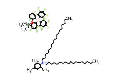 CCCCCCCCCCCCCCCCCC[NH+](CCCCCCCCCCCCCCCCCC)c1c(C)cc(C)cc1C.C[CH2][Al]([CH2]C)[O]c1ccccc1[B-](c1c(F)c(F)c(F)c(F)c1F)(c1c(F)c(F)c(F)c(F)c1F)c1c(F)c(F)c(F)c(F)c1F